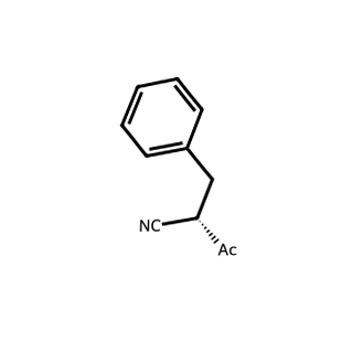 CC(=O)[C@H](C#N)Cc1ccccc1